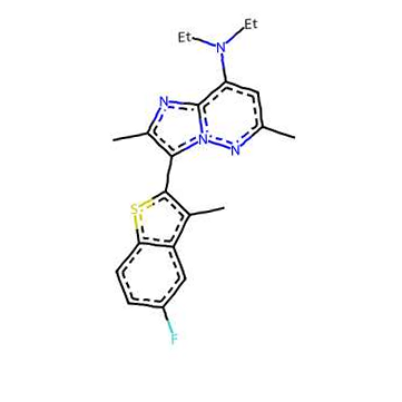 CCN(CC)c1cc(C)nn2c(-c3sc4ccc(F)cc4c3C)c(C)nc12